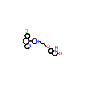 O=C1CCc2ccc(OCCCCN3CCC(=C4c5ccc(Cl)cc5CCc5cccnc54)CC3)cc2N1